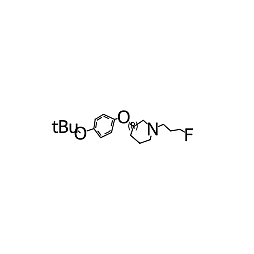 CC(C)(C)Oc1ccc(O[C@@H]2CCCN(CCCF)C2)cc1